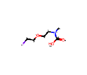 CN(CCOCCI)C(=O)O